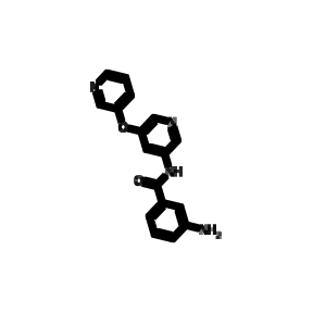 Nc1cccc(C(=O)Nc2cncc(Oc3cccnc3)c2)c1